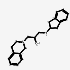 OC(COC1Cc2ccccc2C1)CN1CCc2ccccc2C1